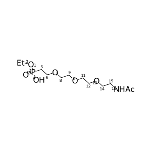 CCOP(=O)(O)CCOCCOCCOCCNC(C)=O